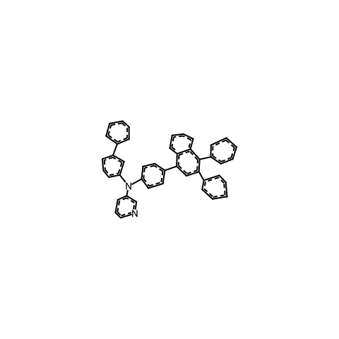 c1ccc(-c2cccc(N(c3ccc(-c4cc(-c5ccccc5)c(-c5ccccc5)c5ccccc45)cc3)c3cccnc3)c2)cc1